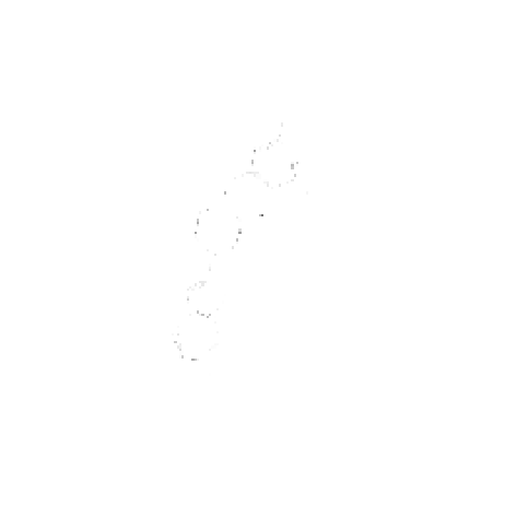 Cc1cc(C=O)cc(CN2CCN(c3nc4ccc(I)cc4s3)C[C@@H]2C)c1